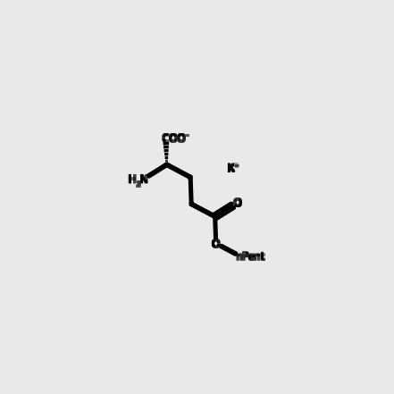 CCCCCOC(=O)CC[C@H](N)C(=O)[O-].[K+]